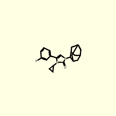 O=c1n(C2C3CC4CC(C3)CC2C4)cc(-c2cccc(F)c2)n1C1CC1